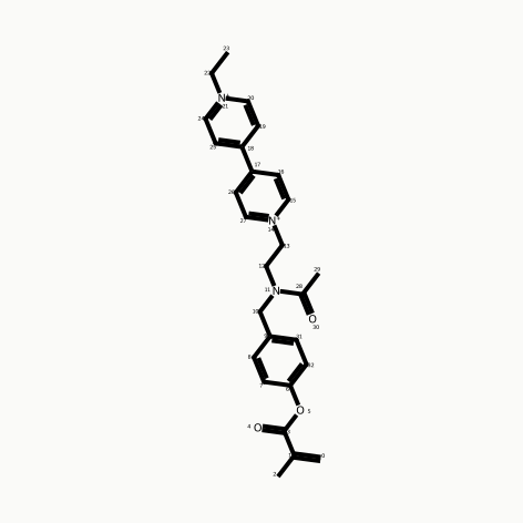 C=C(C)C(=O)Oc1ccc(CN(CC[n+]2ccc(-c3cc[n+](CC)cc3)cc2)C(C)=O)cc1